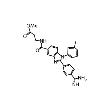 COC(=O)CCNC(=O)c1ccc2c(c1)nc(-c1ccc(C(=N)N)cc1)n2-c1cccc(C)c1